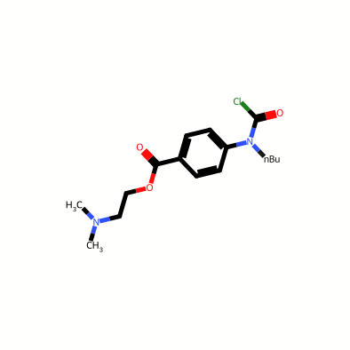 CCCCN(C(=O)Cl)c1ccc(C(=O)OCCN(C)C)cc1